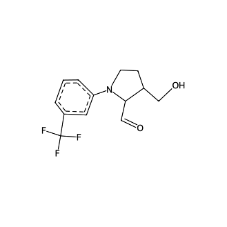 O=CC1C(CO)CCN1c1cccc(C(F)(F)F)c1